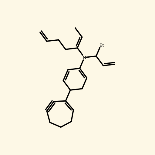 C=CCC/C(=C\C)N(C1=CCC(C2=CCCCC#C2)C=C1)C(C=C)CC